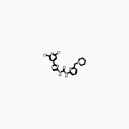 O=C(Nc1cccc(CN2CCCCC2)n1)Nc1csc(-c2cc(Cl)nc(Cl)c2)n1